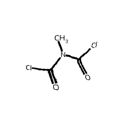 CN(C(=O)Cl)C(=O)Cl